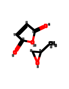 CC1CO1.O=C1C=CC(=O)O1